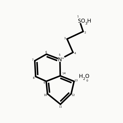 O.O=S(=O)(O)CCC[n+]1cccc2ccccc21